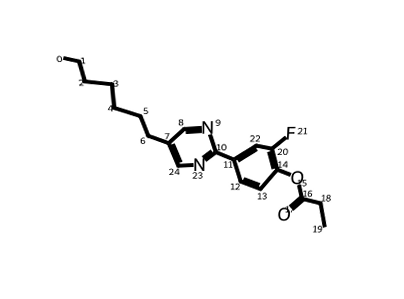 CCCCCCCc1cnc(-c2ccc(OC(=O)CC)c(F)c2)nc1